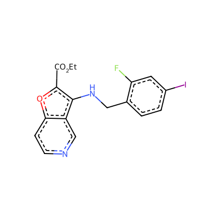 CCOC(=O)c1oc2ccncc2c1NCc1ccc(I)cc1F